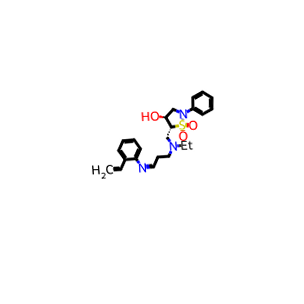 C=Cc1ccccc1/N=C\CCN(CC)C[C@@H]1[C@@H](O)CN(c2ccccc2)S1(=O)=O